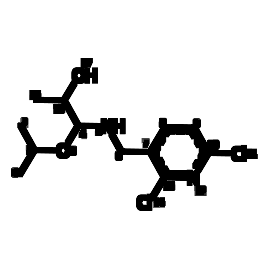 CC(C)OC(NCc1ccc(Cl)nc1Cl)C(C)O